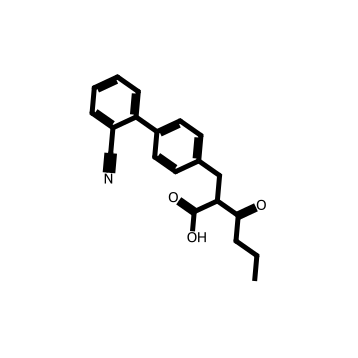 CCCC(=O)C(Cc1ccc(-c2ccccc2C#N)cc1)C(=O)O